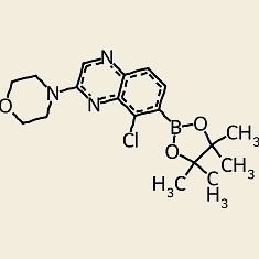 CC1(C)OB(c2ccc3ncc(N4CCOCC4)nc3c2Cl)OC1(C)C